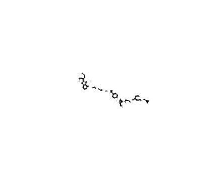 O=C1CCC(N2C(=O)c3cccc(NCCOCCOCCNC(=O)c4ccc(-n5cc(NC(=O)c6coc(-c7ccnc(NCC8CC8)c7)n6)c(C(F)F)n5)cc4)c3C2=O)C(=O)N1